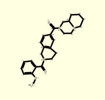 COc1ccccc1C(=O)N1CCc2cc(C(=O)N3CCN4CCCCC4C3)ccc2C1